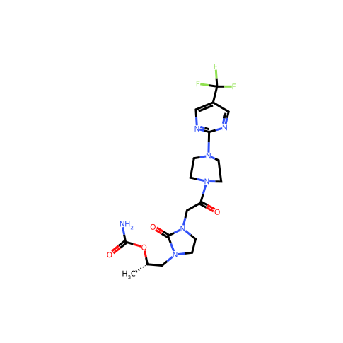 C[C@@H](CN1CCN(CC(=O)N2CCN(c3ncc(C(F)(F)F)cn3)CC2)C1=O)OC(N)=O